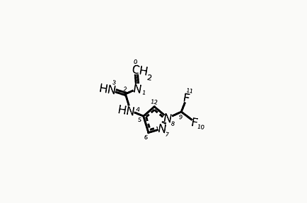 C=NC(=N)Nc1cnn(C(F)F)c1